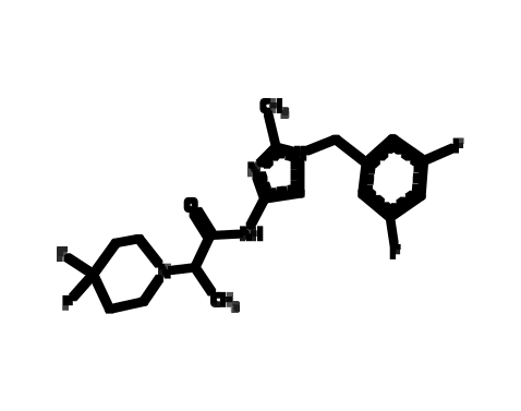 Cc1nc(NC(=O)C(C)N2CCC(F)(F)CC2)cn1Cc1cc(F)cc(F)c1